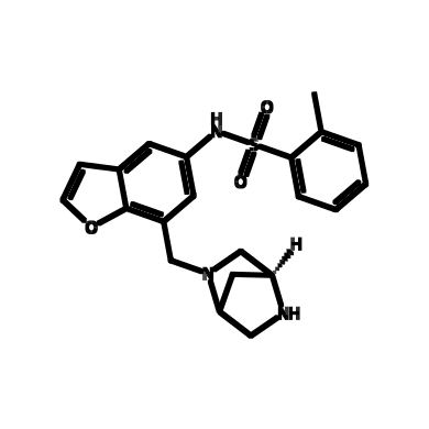 Cc1ccccc1S(=O)(=O)Nc1cc(CN2C[C@@H]3CC2CN3)c2occc2c1